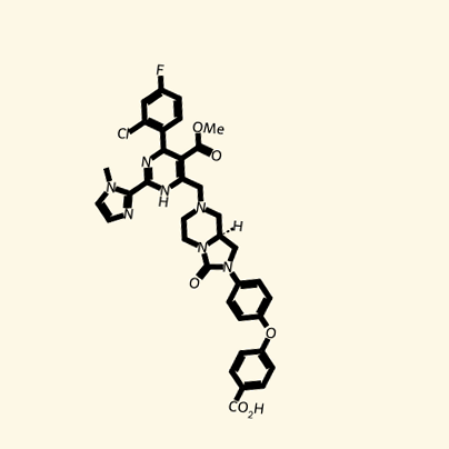 COC(=O)C1=C(CN2CCN3C(=O)N(c4ccc(Oc5ccc(C(=O)O)cc5)cc4)C[C@@H]3C2)NC(c2nccn2C)=NC1c1ccc(F)cc1Cl